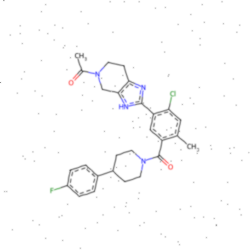 CC(=O)N1CCc2nc(-c3cc(C(=O)N4CCC(c5ccc(F)cc5)CC4)c(C)cc3Cl)[nH]c2C1